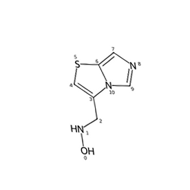 ONCc1csc2cncn12